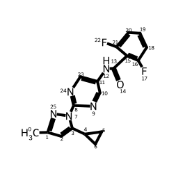 Cc1cc(C2CC2)n(-c2ncc(NC(=O)c3c(F)cccc3F)cn2)n1